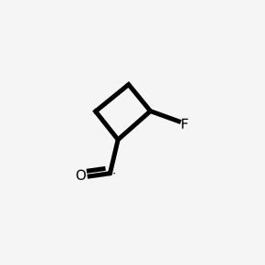 O=[C]C1CCC1F